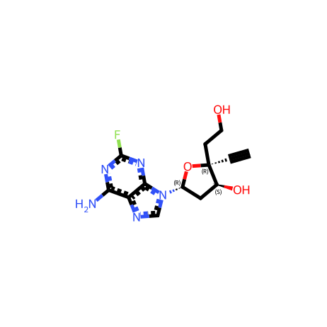 C#C[C@@]1(CCO)O[C@@H](n2cnc3c(N)nc(F)nc32)C[C@@H]1O